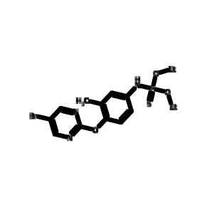 CCOP(=S)(Nc1ccc(Oc2ncc(Br)cn2)c(C)c1)OCC